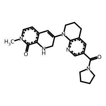 Cn1ccc2c(c1=O)NCC(N1CCCc3cc(C(=O)N4CCCC4)cnc31)=C2